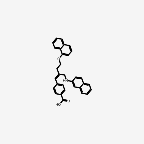 O=C(O)c1ccc(C=C(CCOc2cccc3ccccc23)CNc2ccc3ccccc3c2)cc1